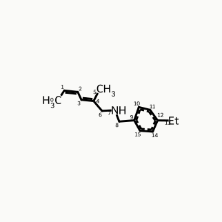 C/C=C\C=C(/C)CNCc1ccc(CC)cc1